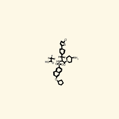 NC1CCN(C(=O)C(NS(=O)(=O)c2ccc3cc(OC4CCCC4)ccc3c2)C(F)(F)c2ccc(-c3ccc(Cl)s3)cc2)CC1.O=C(O)C(F)(F)F